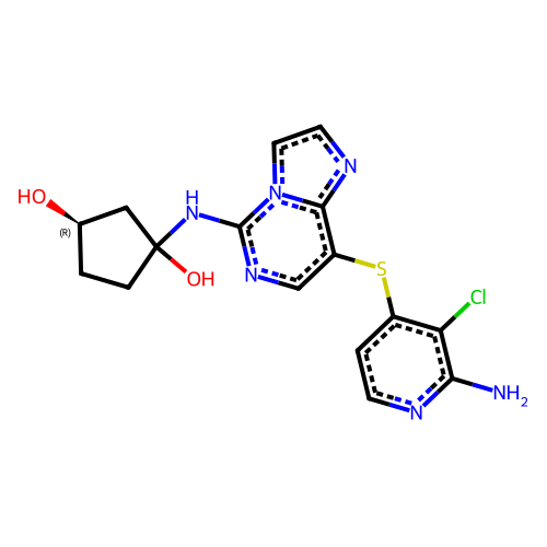 Nc1nccc(Sc2cnc(NC3(O)CC[C@@H](O)C3)n3ccnc23)c1Cl